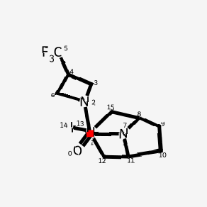 O=C(N1CC(C(F)(F)F)C1)N1C2CCC1CN(I)C2